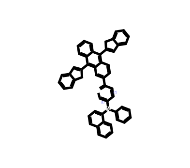 C=C(/C=C\C(=C/C)N(c1ccccc1)c1cccc2ccccc12)c1ccc2c(C3=Cc4ccccc4C3)c3ccccc3c(C3=Cc4ccccc4C3)c2c1